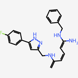 C=C(/C=C\C=C(/N)NCc1ccccc1)NCc1cc(-c2ccc(F)cc2)[nH]n1